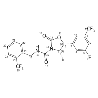 C[C@H]1[C@@H](c2cc(F)cc(C(F)(F)F)c2)OC(=O)N1C(=O)NCc1ccccc1C(F)(F)F